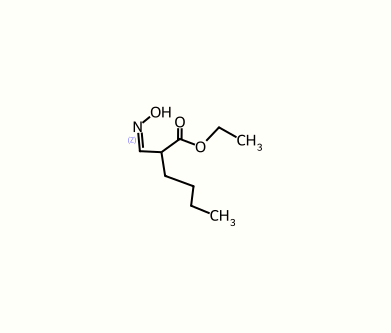 CCCCC(/C=N\O)C(=O)OCC